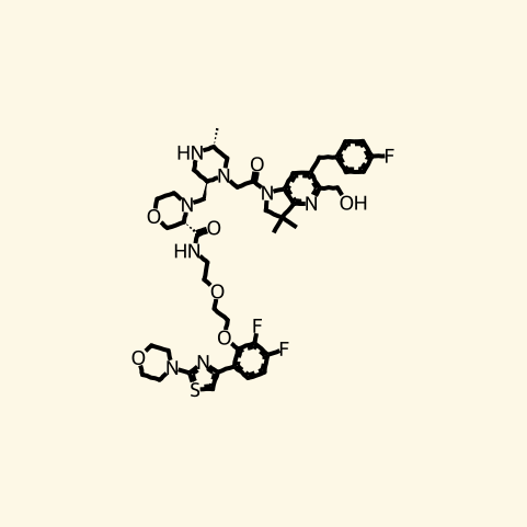 C[C@@H]1CN(CC(=O)N2CC(C)(C)c3nc(CO)c(Cc4ccc(F)cc4)cc32)[C@@H](CN2CCOC[C@H]2C(=O)NCCOCCOc2c(-c3csc(N4CCOCC4)n3)ccc(F)c2F)CN1